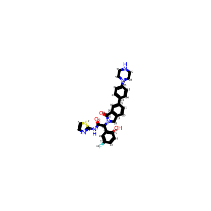 O=C(Nc1nccs1)C(c1cc(F)ccc1O)N1Cc2ccc(-c3ccc(N4CCNCC4)cc3)cc2C1=O